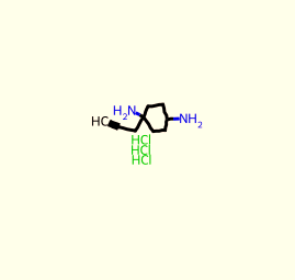 C#CCC1(N)CCC(N)CC1.Cl.Cl.Cl